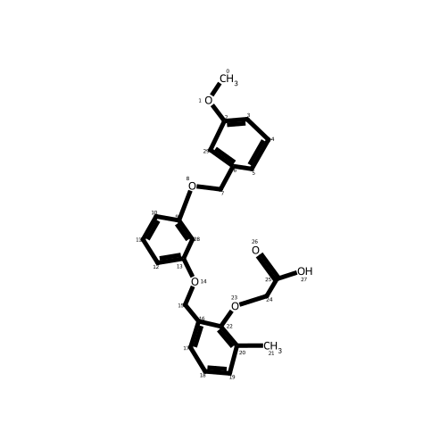 COc1cccc(COc2cccc(OCc3cccc(C)c3OCC(=O)O)c2)c1